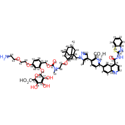 Cc1c(-c2ccc(-c3ccc4nccc(C(=O)Nc5nc6ccccc6s5)c4c3)nc2C(=O)O)cnn1CC12CC3(C)C[C@@](C)(C1)C[C@@](OCCN(C)C(=O)OCc1ccc(OCCOCCN)cc1O[C@H]1OC(C(=O)O)=C(O)C(O)=C1O)(C3)C2